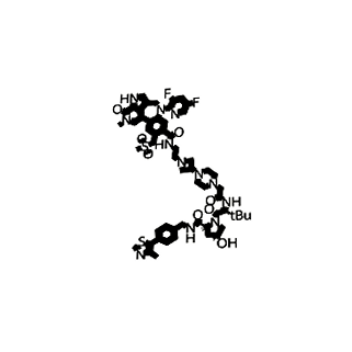 Cc1ncsc1-c1ccc(CNC(=O)[C@@H]2C[C@@H](O)CN2C(=O)[C@@H](NC(=O)CN2CCN(C3CN(CCNC(=O)c4cc5c(cc4CS(C)(=O)=O)-c4cn(C)c(=O)c6[nH]cc(c46)CN5c4ncc(F)cc4F)C3)CC2)C(C)(C)C)cc1